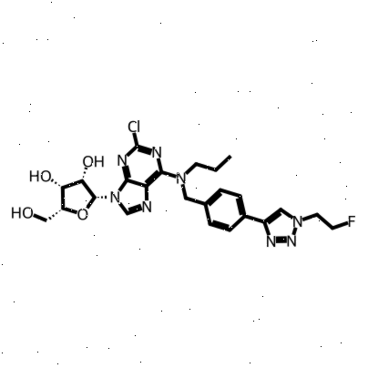 CCCN(Cc1ccc(-c2cn(CCF)nn2)cc1)c1nc(Cl)nc2c1ncn2[C@@H]1O[C@H](CO)[C@H](O)[C@@H]1O